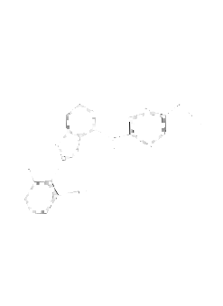 NCc1cnc(Nc2nccc3nc(-c4c(Cl)cccc4Cl)sc23)cn1